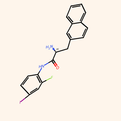 N[C@@H](Cc1ccc2ccccc2c1)C(=O)Nc1ccc(I)cc1F